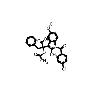 COc1ccc2c(c1)c(C(Cc1ccccc1)(OC(C)=O)C(=O)O)c(C)n2C(=O)c1ccc(Cl)cc1